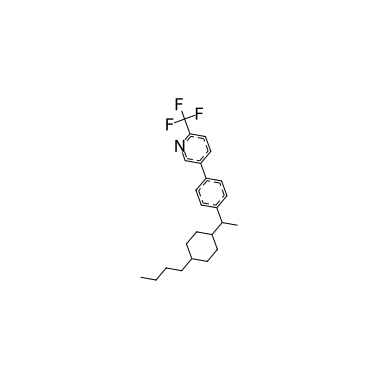 CCCCC1CCC(C(C)c2ccc(-c3ccc(C(F)(F)F)nc3)cc2)CC1